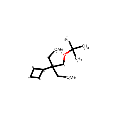 COCC(COC)(COC(C)(C)C(C)C)C1CCC1